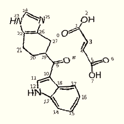 O=C(O)/C=C/C(=O)O.O=C(c1c[nH]c2ccccc12)C1CCc2[nH]cnc2C1